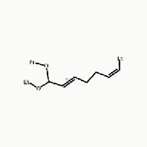 CC/C=C\CC/C=C/C(OCC)OCC